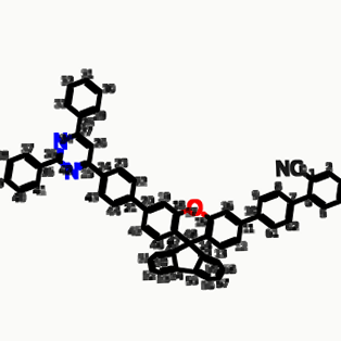 N#Cc1ccccc1-c1ccc(-c2ccc3c(c2)Oc2cc(-c4ccc(-c5cc(-c6ccccc6)nc(-c6ccccc6)n5)cc4)ccc2C32c3ccccc3-c3ccccc32)cc1